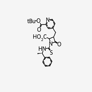 C[C@@H](NC(=S)N1C(=O)C(Cc2ccnc(C(=O)OC(C)(C)C)c2)C1C(=O)O)c1ccccc1